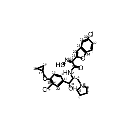 O=C(N[C@H](CN1CCCC1)[C@H](O)c1ccc(OC2CC2)c(Cl)c1)C(=NO)c1cc2cc(Cl)ccc2o1